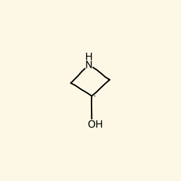 O[C]1CNC1